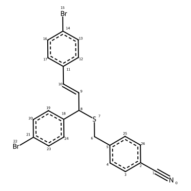 N#Cc1ccc(CSC(/C=C/c2ccc(Br)cc2)c2ccc(Br)cc2)cc1